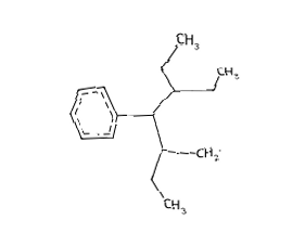 [CH2]C(CC)C(c1ccccc1)C(CC)CC